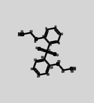 O=S(=O)(c1ccccc1OCO)c1ccccc1OCO